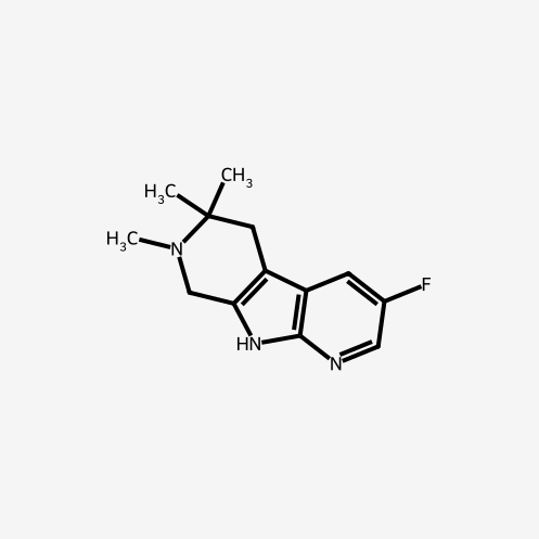 CN1Cc2[nH]c3ncc(F)cc3c2CC1(C)C